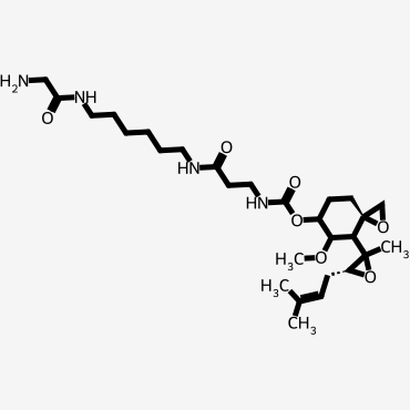 COC1C(OC(=O)NCCC(=O)NCCCCCCNC(=O)CN)CC[C@]2(CO2)C1C1(C)O[C@@H]1CC=C(C)C